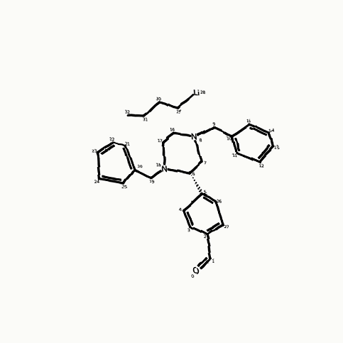 O=Cc1ccc([C@H]2CN(Cc3ccccc3)CCN2Cc2ccccc2)cc1.[Li][CH2]CCC